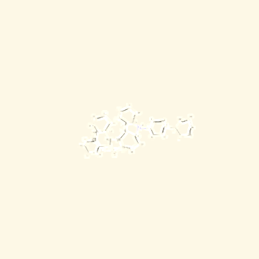 c1ccc(-c2ccc(-n3c4ccccc4c4c5c(ccc43)sc3c4ccccc4c4ccccc4c35)cc2)cc1